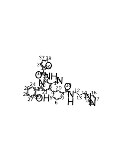 N#Cc1c(-c2cccc(C(=O)NCCCn3ccnc3)c2)cc(-c2ccccc2O)nc1NC(=O)c1ccco1